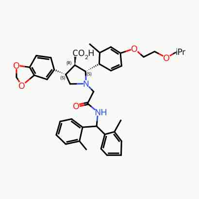 Cc1ccccc1C(NC(=O)CN1C[C@H](c2ccc3c(c2)OCO3)[C@@H](C(=O)O)[C@@H]1C1C=CC(OCCOC(C)C)=CC1C)c1ccccc1C